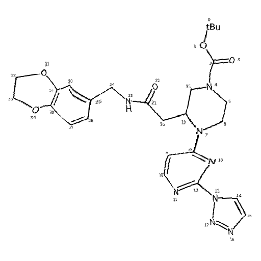 CC(C)(C)OC(=O)N1CCN(c2ccnc(-n3ccnn3)n2)C(CC(=O)NCc2ccc3c(c2)OCCO3)C1